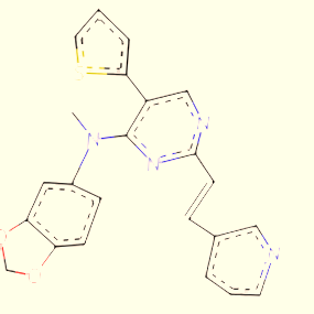 CN(c1ccc2c(c1)OCO2)c1nc(C=Cc2cccnc2)ncc1-c1cccs1